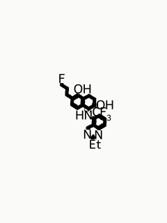 CCc1ncc2c(N[C@H]3c4ccc(CCCF)c(O)c4CC[C@]3(O)C(F)(F)F)cccc2n1